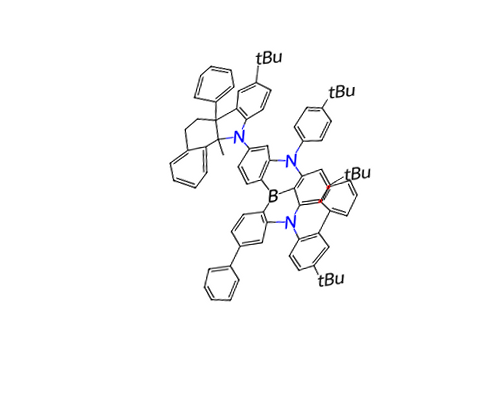 CC(C)(C)c1ccc(N2c3cc(N4c5ccc(C(C)(C)C)cc5C5(c6ccccc6)CCc6ccccc6C45C)ccc3B3c4ccc(-c5ccccc5)cc4N(c4ccc(C(C)(C)C)cc4-c4ccccc4)c4cc(C(C)(C)C)cc2c43)cc1